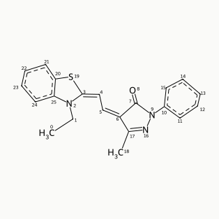 CCN1C(=CC=C2C(=O)N(c3ccccc3)N=C2C)Sc2ccccc21